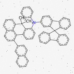 CC1(C)c2c(cccc2N(c2ccccc2)c2ccc3c(c2)C2(c4ccccc4-c4ccccc42)c2ccccc2-3)-c2c(-c3ccc4ccccc4c3)ccc3cccc1c23